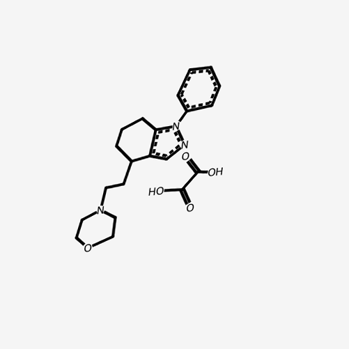 O=C(O)C(=O)O.c1ccc(-n2ncc3c2CCCC3CCN2CCOCC2)cc1